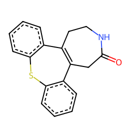 O=C1CC2=C(CCN1)c1ccccc1Sc1ccccc12